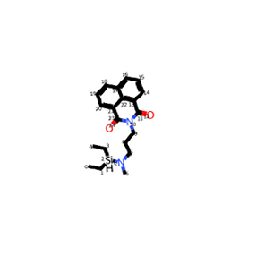 CC[SiH](CC)N(C)CCCN1C(=O)c2cccc3cccc(c23)C1=O